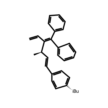 C=CC(=C(c1ccccc1)c1ccccc1)[C@H](C)/C=C/c1ccc([C@@H](C)CC)cc1